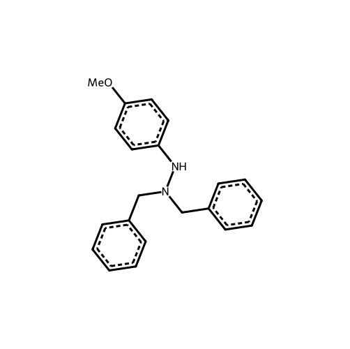 COc1ccc(NN(Cc2ccccc2)Cc2ccccc2)cc1